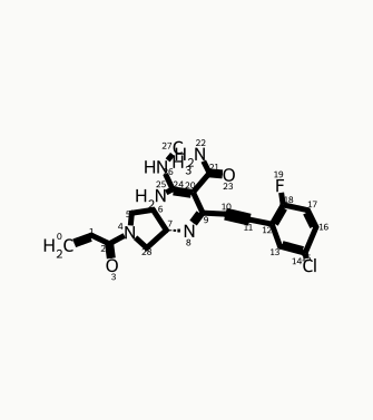 C=CC(=O)N1CC[C@H](/N=C(C#Cc2cc(Cl)ccc2F)\C(C(N)=O)=C(/N)NC)C1